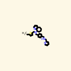 CCc1ccc(CN(Cc2ccc(CNCc3ccccn3)cc2)C2CCCCc3cccnc32)s1